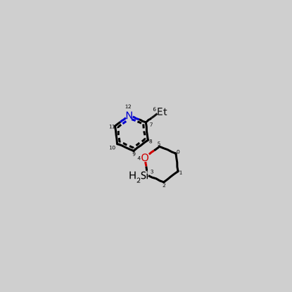 C1CC[SiH2]OC1.CCc1ccccn1